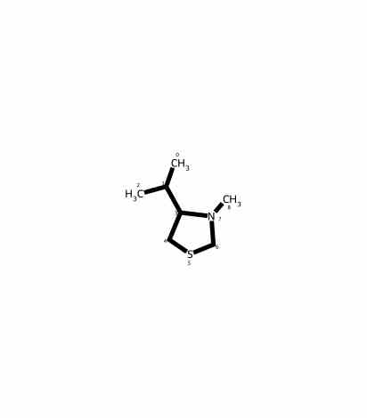 CC(C)C1CSCN1C